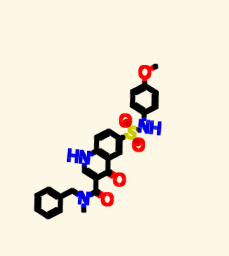 COc1ccc(NS(=O)(=O)c2ccc3[nH]cc(C(=O)N(C)Cc4ccccc4)c(=O)c3c2)cc1